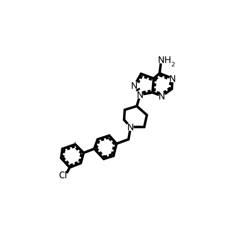 Nc1ncnc2c1cnn2C1CCN(Cc2ccc(-c3[c]ccc(Cl)c3)cc2)CC1